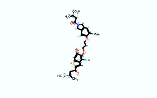 COc1cc2c(c(F)c1OCCCOc1c(O)cc3sc(C(=O)C[C@H](C)C(=O)O)cc3c1F)CN(C(=O)C[C@H](C)C(=O)O)C2